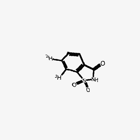 [2H]c1ccc2c(c1[2H])S(=O)(=O)NC2=O